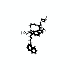 CCc1c2c(nn1C)C(CCN1CC(F)C1)OCCCCn1c(C(=O)O)c(CCCOc3cccc4cc(F)ccc34)c3ccc(Cl)c-2c31